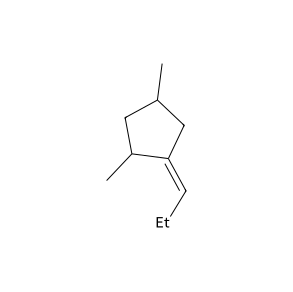 CCC=C1CC(C)CC1C